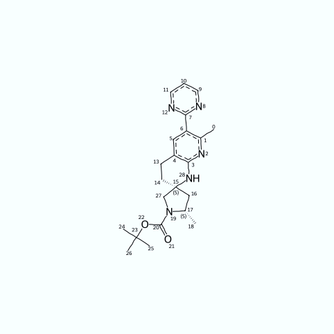 Cc1nc2c(cc1-c1ncccn1)CC[C@@]1(C[C@H](C)N(C(=O)OC(C)(C)C)C1)N2